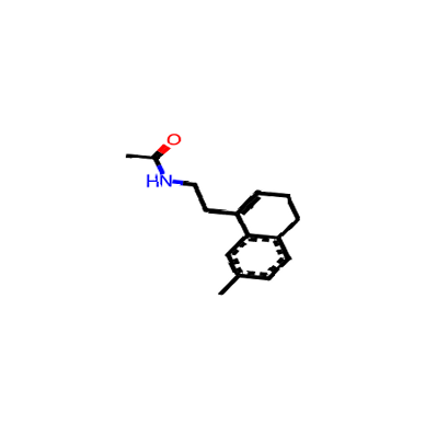 CC(=O)NCCC1=CCCc2ccc(C)cc21